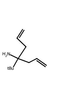 C=CCC(N)(CC=C)C(C)(C)C